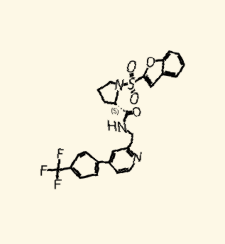 O=C(NCc1cc(-c2ccc(C(F)(F)F)cc2)ccn1)[C@@H]1CCCN1S(=O)(=O)c1cc2ccccc2o1